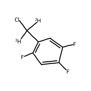 [2H]C([2H])(Cl)c1cc(F)c(F)cc1F